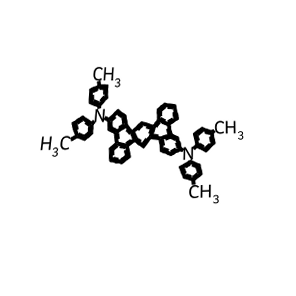 Cc1ccc(N(c2ccc(C)cc2)c2ccc3c(c2)c2ccccc2c2cc4c5ccc(N(c6ccc(C)cc6)c6ccc(C)cc6)cc5c5ccccc5c4cc32)cc1